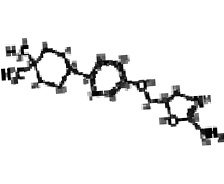 CC1(C)CCC(c2ccc(OCC3CN=C(N)O3)cc2)CC1